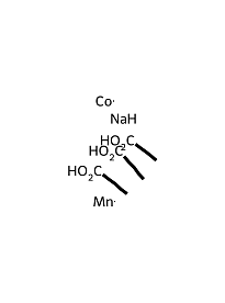 CC(=O)O.CC(=O)O.CC(=O)O.[Co].[Mn].[NaH]